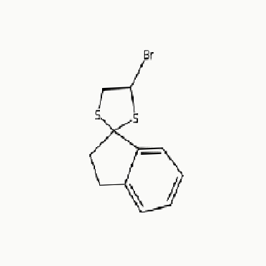 BrC1CSC2(CCc3ccccc32)S1